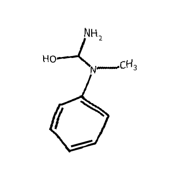 CN(c1ccccc1)C(N)O